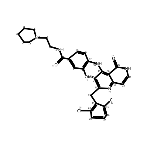 COc1cc(C(=O)NCCN2CCCCC2)ccc1Nc1cc(Cc2c(Cl)cccc2Cl)nc2cc[nH]c(=O)c12